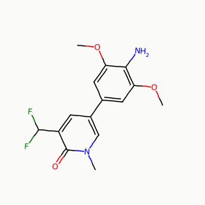 COc1cc(-c2cc(C(F)F)c(=O)n(C)c2)cc(OC)c1N